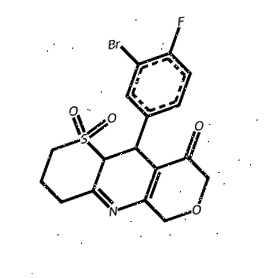 O=C1COCC2=C1C(c1ccc(F)c(Br)c1)C1C(=N2)CCCS1(=O)=O